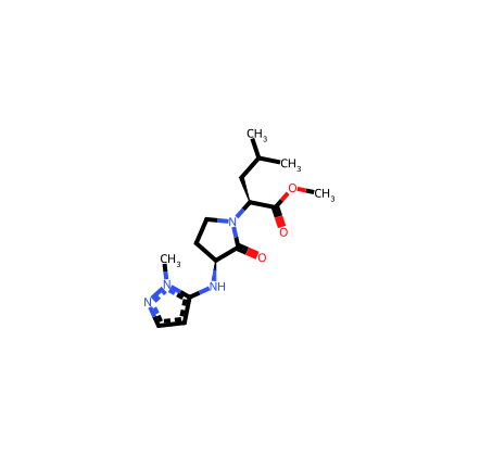 COC(=O)[C@H](CC(C)C)N1CC[C@H](Nc2ccnn2C)C1=O